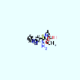 COC(=O)c1c(N2CCC[C@H]2CO)sc(-c2ccc3c(c2)ncn3C2CCCCC2)c1N